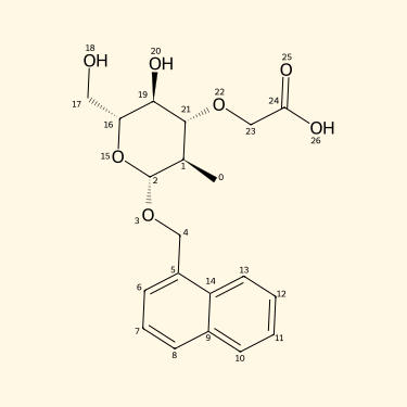 C[C@H]1[C@H](OCc2cccc3ccccc23)O[C@H](CO)[C@@H](O)[C@@H]1OCC(=O)O